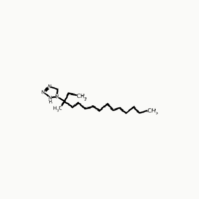 CCCCCCCCCCCCC(C)(CC)N1CN=NN1